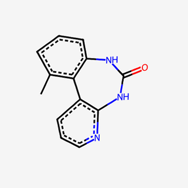 Cc1cccc2c1-c1cccnc1NC(=O)N2